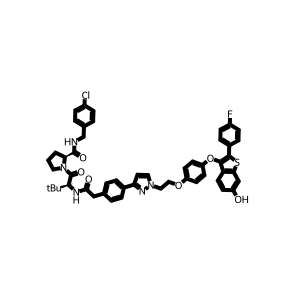 CC(C)(C)[C@H](NC(=O)Cc1ccc(-c2ccn(CCOc3ccc(Oc4c(-c5ccc(F)cc5)sc5cc(O)ccc45)cc3)n2)cc1)C(=O)N1CCC[C@H]1C(=O)NCc1ccc(Cl)cc1